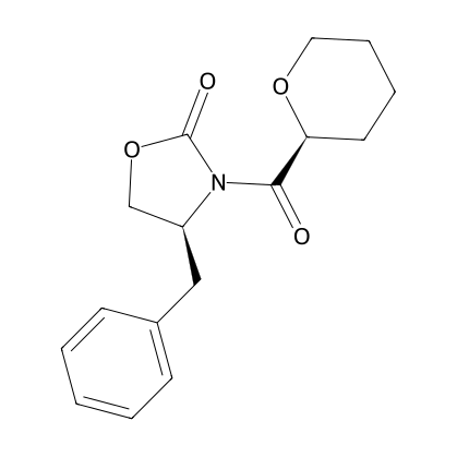 O=C1OC[C@H](Cc2ccccc2)N1C(=O)[C@@H]1CCCCO1